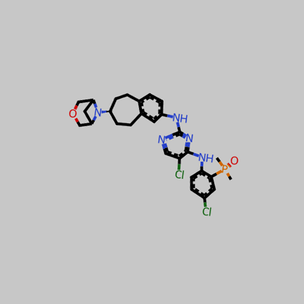 CP(C)(=O)c1cc(Cl)ccc1Nc1nc(Nc2ccc3c(c2)CC[C@@H](N2C4COCC2C4)CC3)ncc1Cl